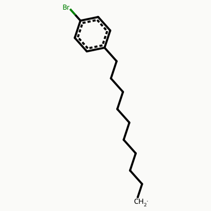 [CH2]CCCCCCCCCc1ccc(Br)cc1